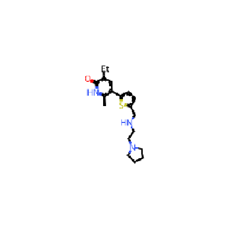 CCc1cc(-c2ccc(CNCCN3CCCC3)s2)c(C)[nH]c1=O